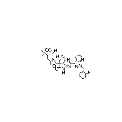 CC(C)(CCc1coc(C2(C)C(=O)Nc3nc(-c4nn(Cc5ccccc5F)c5ncccc45)nc(N)c32)n1)C(=O)O